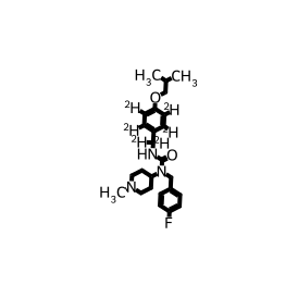 [2H]c1c([2H])c(C([2H])([2H])NC(=O)N(Cc2ccc(F)cc2)C2CCN(C)CC2)c([2H])c([2H])c1OCC(C)C